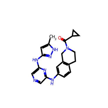 Cc1cc(Nc2cncc(Nc3ccc4c(c3)CN(C(=O)C3CC3)CC4)n2)n[nH]1